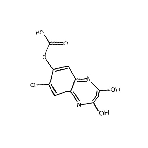 O=C(O)Oc1cc2nc(O)c(O)nc2cc1Cl